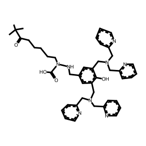 CC(C)(C)C(=O)CCCCCN(NCc1cc(CN(Cc2ccccn2)Cc2ccccn2)c(O)c(CN(Cc2ccccn2)Cc2ccccn2)c1)C(=O)O